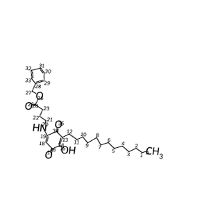 CCCCCCCCCCCCCC1=C(O)C(=O)C=C(NCCCC(=O)OCc2ccccc2)C1=O